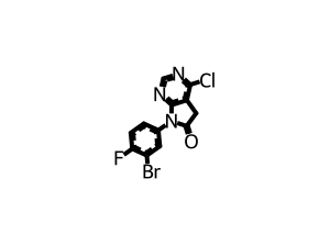 O=C1Cc2c(Cl)ncnc2N1c1ccc(F)c(Br)c1